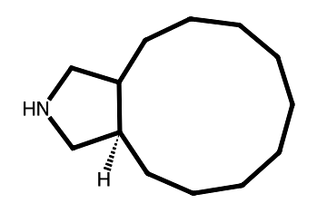 C1CCCCC2CNC[C@@H]2CCCC1